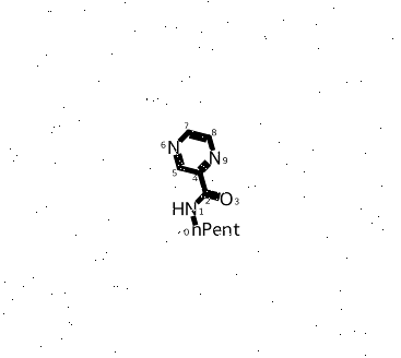 CCCCCNC(=O)c1cnccn1